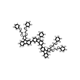 c1ccc(OCCOCCC2(CCOCCOc3ccccc3)c3ccccc3-c3ccc(-c4ccc5c(c4)c4cc(-c6ccc7c(c6)C(CCOCCOc6ccccc6)(CCOCCOc6ccccc6)c6ccccc6-7)ccc4n5-c4ccccc4)cc32)cc1